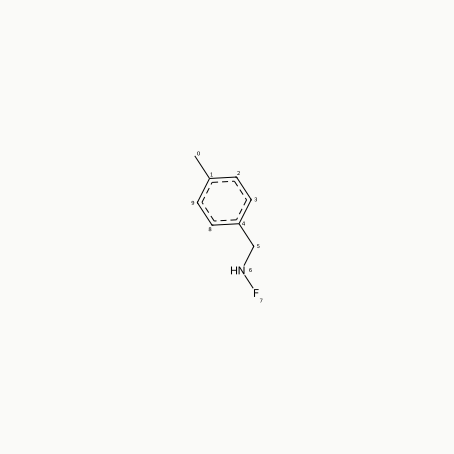 Cc1ccc(CNF)cc1